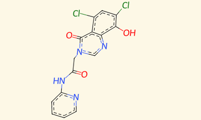 O=C(Cn1cnc2c(O)c(Cl)cc(Cl)c2c1=O)Nc1ccccn1